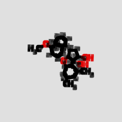 COc1ccc([C@@]23Oc4cc(C)cc(C)c4[C@]2(O)[C@H](O)C[C@H]3c2ccccc2)cc1